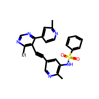 CCc1ncnc(-c2ccnc(C)c2)c1C#Cc1cnc(C)c(NS(=O)(=O)c2ccccc2)c1